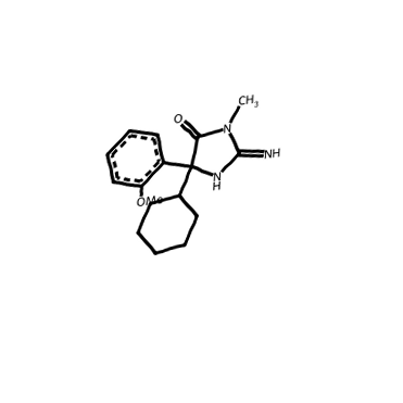 COc1ccccc1C1(C2CCCCC2)NC(=N)N(C)C1=O